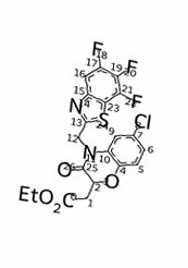 CCOC(=O)CC1Oc2ccc(Cl)cc2N(Cc2nc3cc(F)c(F)c(F)c3s2)C1=O